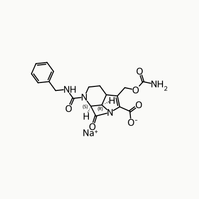 NC(=O)OCC1=C(C(=O)[O-])N2C(=O)[C@@H]3[C@H]2C1CCN3C(=O)NCc1ccccc1.[Na+]